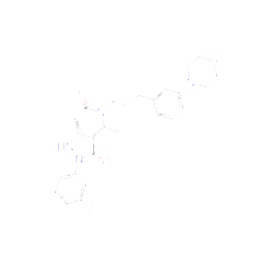 Cc1c2c(=O)n(-c3cccc(Cl)c3)[nH]c2cc(=O)n1CCCc1cccc(N2CCOCC2)c1